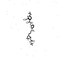 CC(C)(C)OC(=O)N1CC(CCCNc2cccc(SNC(=O)c3ccc(C(C)(C)C)nc3Cl)n2)CC1(C)C